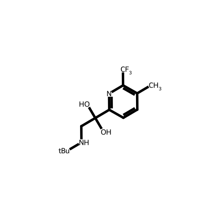 Cc1ccc(C(O)(O)CNC(C)(C)C)nc1C(F)(F)F